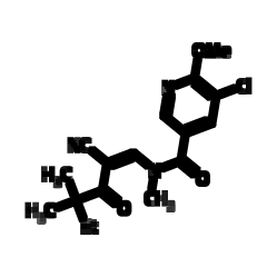 CCC(C)(C)C(=O)/C(C#N)=C\N(C)C(=O)c1cnc(OC)c(Cl)c1